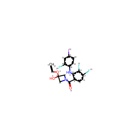 C=COC1(O)CN(C(=O)c2ccc(F)c(F)c2Nc2ccc(I)cc2F)C1